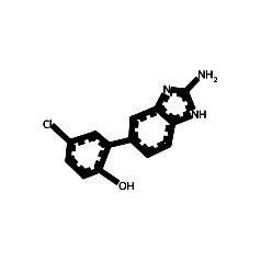 Nc1nc2cc(-c3cc(Cl)ccc3O)ccc2[nH]1